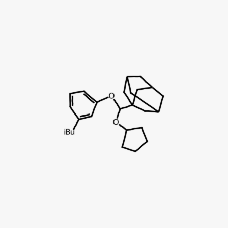 CCC(C)c1cccc(OC(OC2CCCC2)C23CC4CC(CC(C4)C2)C3)c1